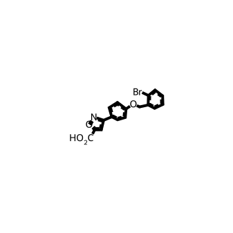 O=C(O)c1cc(-c2ccc(OCc3ccccc3Br)cc2)no1